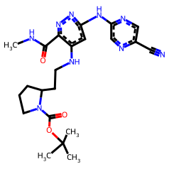 CNC(=O)c1nnc(Nc2cnc(C#N)cn2)cc1NCCC1CCCN1C(=O)OC(C)(C)C